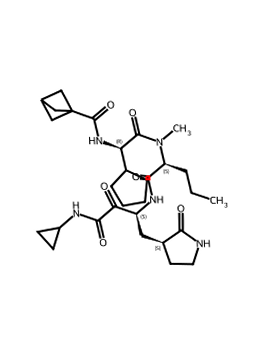 CCC[C@@H](C(=O)N[C@@H](C[C@@H]1CCNC1=O)C(=O)C(=O)NC1CC1)N(C)C(=O)[C@H](NC(=O)C12CC(C1)C2)C1CCCC1